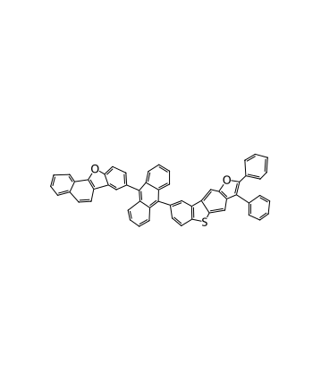 c1ccc(-c2oc3cc4c(cc3c2-c2ccccc2)sc2ccc(-c3c5ccccc5c(-c5ccc6oc7c8ccccc8ccc7c6c5)c5ccccc35)cc24)cc1